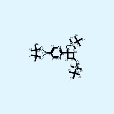 CC1(C)OB(c2cnc(C3(O[Si](C)(C)C(C)(C)C)CC(O[Si](C)(C)C(C)(C)C)C3)nc2)OC1(C)C